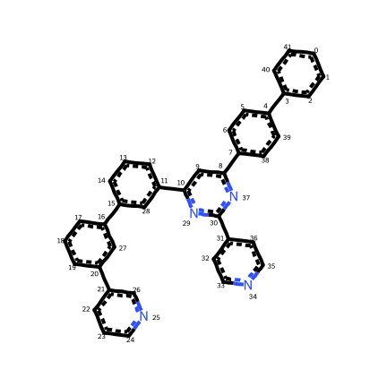 c1ccc(-c2ccc(-c3cc(-c4cccc(-c5cccc(-c6cccnc6)c5)c4)nc(-c4ccncc4)n3)cc2)cc1